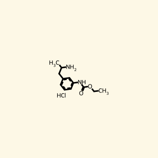 CCOC(=O)Nc1cccc(CC(C)N)c1.Cl